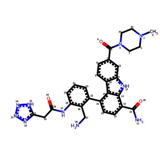 CN1CCN(C(=O)c2ccc3c(c2)[nH]c2c(C(N)=O)ccc(-c4cccc(NC(=O)Cc5nnn[nH]5)c4CN)c23)CC1